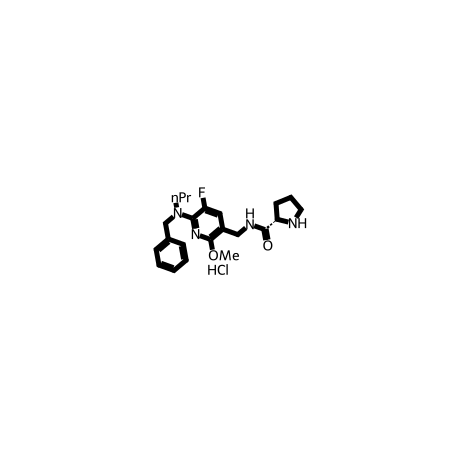 CCCN(Cc1ccccc1)c1nc(OC)c(CNC(=O)[C@@H]2CCCN2)cc1F.Cl